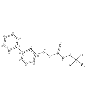 CC(C)(F)COC(=O)CSc1nccc(-c2ccccn2)n1